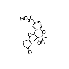 CC1(C)Oc2ccc(C(=O)O)cc2C(OC2=CC(=O)CC2)C1(C)O